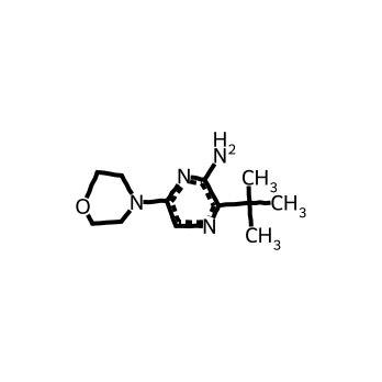 CC(C)(C)c1ncc(N2CCOCC2)nc1N